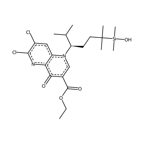 CCOC(=O)c1cn([C@H](CCC(C)(C)[Si](C)(C)O)C(C)C)c2cc(Cl)c(Cl)nc2c1=O